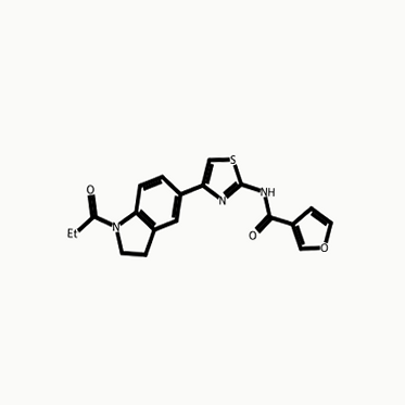 CCC(=O)N1CCc2cc(-c3csc(NC(=O)c4ccoc4)n3)ccc21